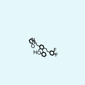 Cc1c(CCn2ncccc2=O)ccc(CCc2ccc(F)c(F)c2)c1-c1ccccc1O